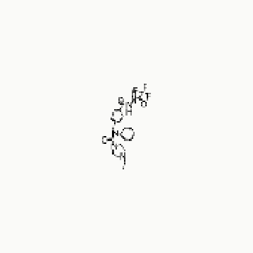 CCN1CCN(C(=O)N(Cc2ccc(C(=O)NNC(=O)C(F)(F)F)cc2)c2ccccc2)CC1